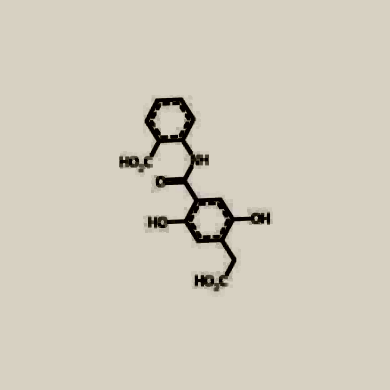 O=C(O)Cc1cc(O)c(C(=O)Nc2ccccc2C(=O)O)cc1O